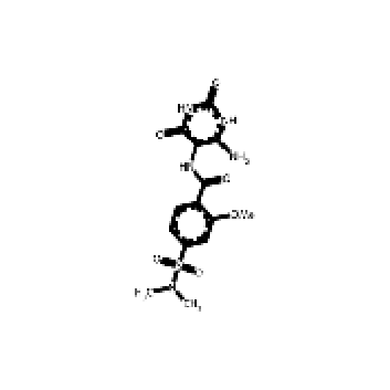 COc1cc(S(=O)(=O)N(C)C)ccc1C(=O)Nc1c(N)[nH]c(=O)[nH]c1=O